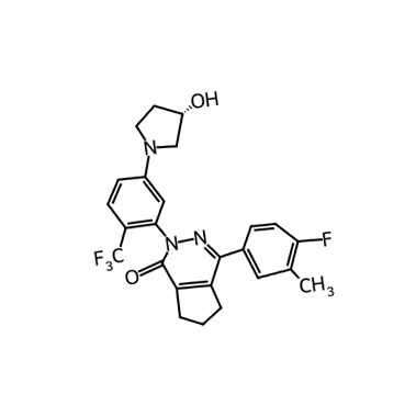 Cc1cc(-c2nn(-c3cc(N4CC[C@H](O)C4)ccc3C(F)(F)F)c(=O)c3c2CCC3)ccc1F